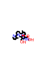 Cc1cccnc1C1CCCC(c2ncccc2C)N1Cc1ccc(C(=O)NO)cc1CO